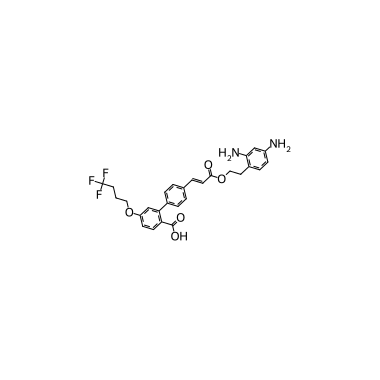 Nc1ccc(CCOC(=O)/C=C/c2ccc(-c3cc(OCCCC(F)(F)F)ccc3C(=O)O)cc2)c(N)c1